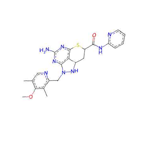 COc1c(C)cnc(CN2NC3CC(C(=O)Nc4ccccn4)Sc4nc(N)nc2c43)c1C